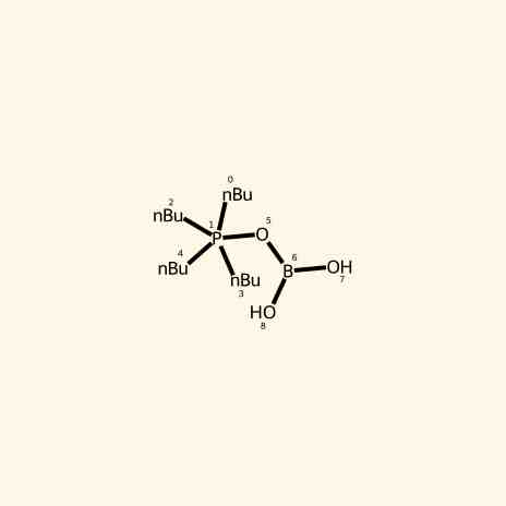 CCCCP(CCCC)(CCCC)(CCCC)OB(O)O